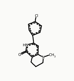 CN1CCCc2c1cc(-c1ccc(Cl)cc1)[nH]c2=O